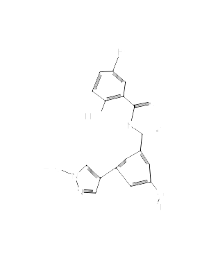 COc1cc(-c2cnn(C)c2)cc([C@@H](C)NC(=O)c2cc(Br)ccc2C)c1